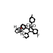 Cc1ccc(S(=O)(=O)n2c(-c3cccc(N4[C@@H]5CC[C@H]4C[C@@H](C(=O)O)C5)c3)c(-c3ccsc3C#N)c3cc(F)ccc32)cc1